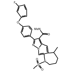 CNC(=O)c1c(-c2ccc(Oc3cccc(F)c3)cc2)nn2cc3c(cc12)C(C)CCCN3S(C)(=O)=O